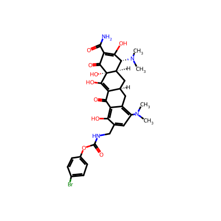 CN(C)c1cc(CNC(=O)Oc2ccc(Br)cc2)c(O)c2c1C[C@@H]1C[C@@H]3[C@@H](N(C)C)C(O)=C(C(N)=O)C(=O)[C@]3(O)C(O)=C1C2=O